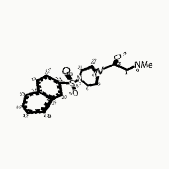 CNCC(=O)N1CCN(S(=O)(=O)c2ccc3ccccc3c2)CC1